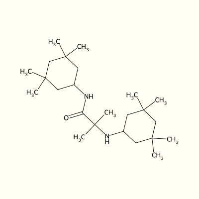 CC1(C)CC(NC(=O)C(C)(C)NC2CC(C)(C)CC(C)(C)C2)CC(C)(C)C1